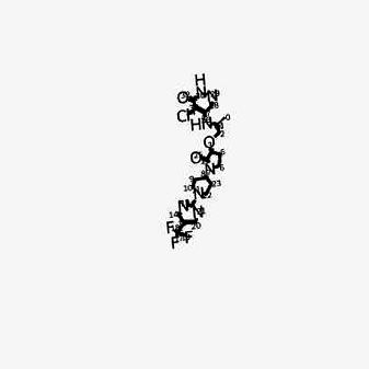 C[C@@H](COC1CCN(C2CCN(c3ncc(C(F)(F)F)cn3)CC2)C1=O)Nc1cn[nH]c(=O)c1Cl